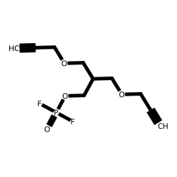 C#CCOCC(COCC#C)COP(=O)(F)F